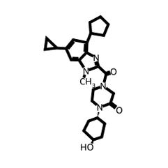 Cn1c(C(=O)N2CCN([C@H]3CC[C@H](O)CC3)C(=O)C2)nc2c(C3CCCC3)cc(C3CC3)cc21